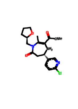 COC(=O)C1=C(C)N(C[C@H]2CCCO2)C(=O)C[C@@H](c2ccc(Cl)nc2)[SiH2]1